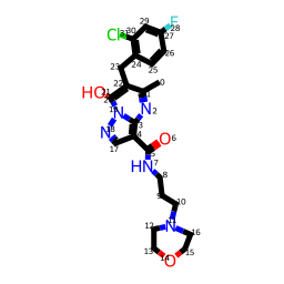 Cc1nc2c(C(=O)NCCCN3CCOCC3)cnn2c(O)c1Cc1ccc(F)cc1Cl